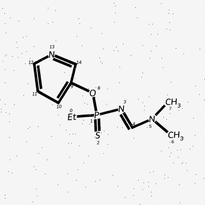 CCP(=S)(N=CN(C)C)Oc1cccnc1